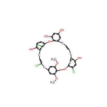 COc1cc2cc(OC)c1Oc1cc(c(O)cc1Cl)C/C=C\Cc1cc(O)cc(O)c1Oc1ccc(O)c(c1Cl)C/C=C(/Cl)C2